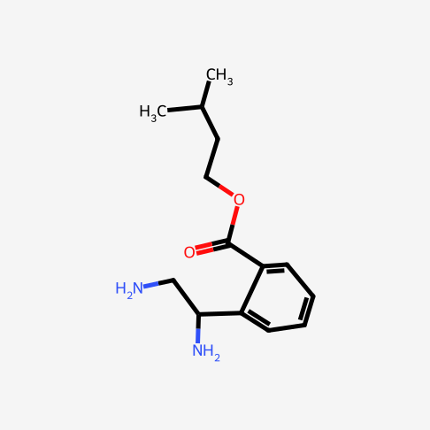 CC(C)CCOC(=O)c1ccccc1C(N)CN